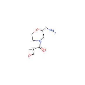 NC[C@@H]1CN(C(=O)C2COC2)CCO1